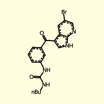 CCCCNC(=O)Nc1cccc(C(=O)c2c[nH]c3ncc(Br)cc23)c1